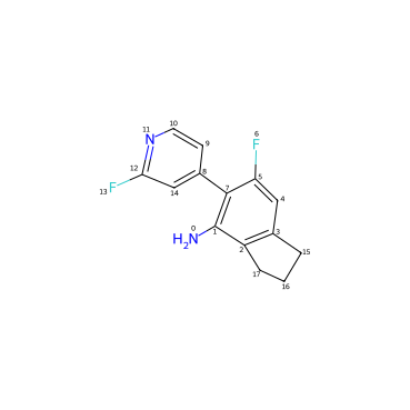 Nc1c2c(cc(F)c1-c1ccnc(F)c1)CCC2